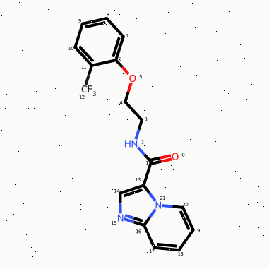 O=C(NCCOc1ccccc1C(F)(F)F)c1cnc2ccccn12